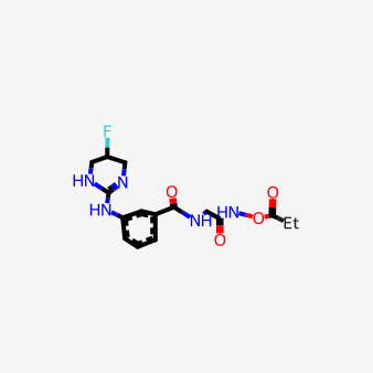 CCC(=O)ONC(=O)CNC(=O)c1cccc(NC2=NCC(F)CN2)c1